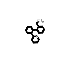 C=Cc1ccccc1-c1ccccc1-c1ccccn1